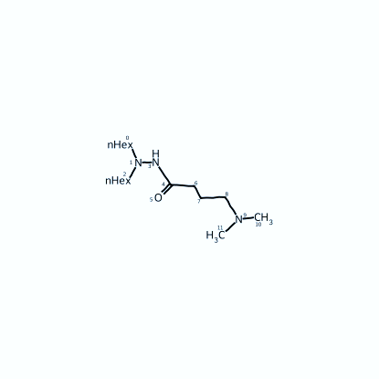 CCCCCCN(CCCCCC)NC(=O)CCCN(C)C